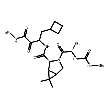 CCCNC(=O)C(=O)C(CC1CCC1)NC(=O)[C@@H]1C2C(CN1C(=O)[C@@H](NC(=O)NC(C)(C)C)C(C)(C)C)C2(C)C